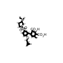 Cc1cc(-c2cc(S(=O)(=O)N3CCC(N(C)C)C3)ccc2OCC2CC2)c(C(=O)O)cc1C(=O)O